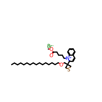 CCCCCCCCCCCCCCCCOCC1(c2ccc3ccccc3[n+]2CCCCC(=O)OC)CSC1.[Br-]